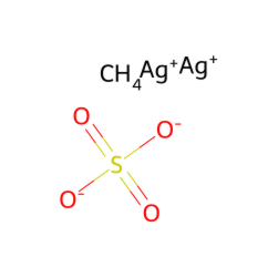 C.O=S(=O)([O-])[O-].[Ag+].[Ag+]